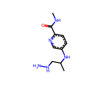 CNC(=O)c1ccc(NC(C)CNN)cn1